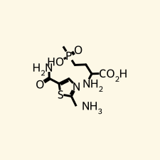 CP(=O)(O)CCC(N)C(=O)O.Cc1ncc(C(N)=O)s1.N